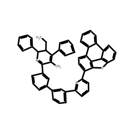 CCC1C(c2ccccc2)=C(C)C(c2cccc(-c3cccc(-c4cccc(-c5ccc6c7ccccc7c7cccc8sc5c6c87)n4)c3)c2)=NC1c1ccccc1